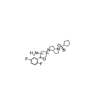 N[C@H]1C[C@@H](N2CCC3C2CCN3S(=O)(=O)C2CCCC2)CO[C@@H]1c1cc(F)ccc1F